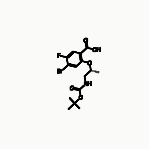 C[C@H](CNC(=O)OC(C)(C)C)Oc1cc(Br)c(F)cc1C(=O)O